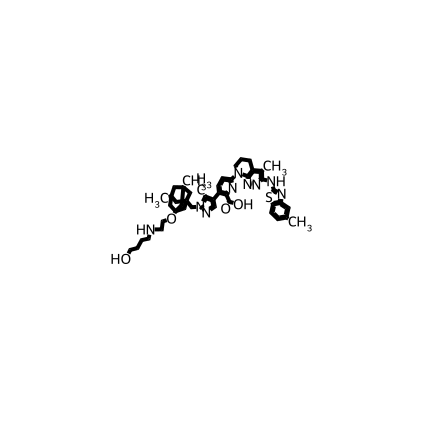 Cc1ccc2sc(Nc3nnc4c(c3C)CCCN4c3ccc(-c4cnn(CC56CC7(C)CC(C)(C5)CC(OCCNCCCCO)(C7)C6)c4C)c(C(=O)O)n3)nc2c1